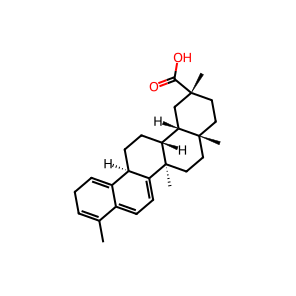 CC1=CCC=C2C1=CC=C1[C@@H]2CC[C@@H]2[C@@H]3C[C@](C)(C(=O)O)CC[C@]3(C)CC[C@@]12C